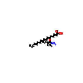 CC(C)C(N)=O.CCCCCCCCCCCCCCCC(=O)O